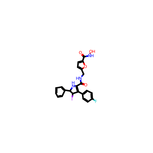 O=C(NCc1ccc(C(=O)NO)o1)C1=C(c2ccc(F)cc2)C(I)C(c2ccccc2)N1